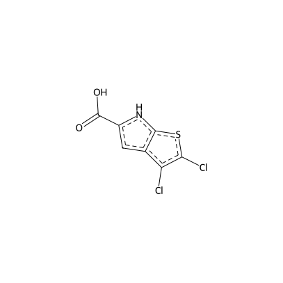 O=C(O)c1cc2c(Cl)c(Cl)sc2[nH]1